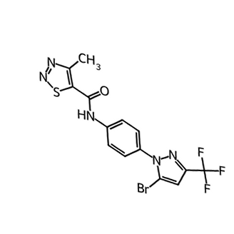 Cc1nnsc1C(=O)Nc1ccc(-n2nc(C(F)(F)F)cc2Br)cc1